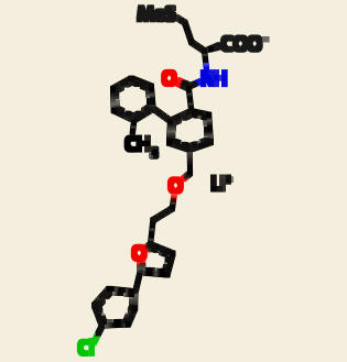 CSCC[C@H](NC(=O)c1ccc(COCCc2ccc(-c3ccc(Cl)cc3)o2)cc1-c1ccccc1C)C(=O)[O-].[Li+]